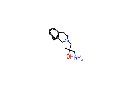 C[C@](O)(CN)CN1CCc2ccccc2C1